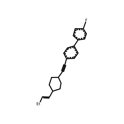 CCC=CC1CCC(C#Cc2ccc(-c3ccc(F)cc3)cc2)CC1